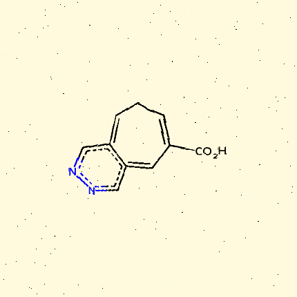 O=C(O)C1=CCC=c2cnncc2=C1